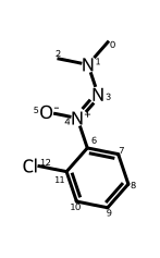 CN(C)N=[N+]([O-])c1ccccc1Cl